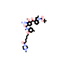 COc1c(C(=O)c2cccc3c2cc(C)n3C(=O)OC(C)(C)C)ccc(C(=O)N(C)c2ccc(C)cc2OCCCCCC(=O)N2CCN(C)CC2)c1N